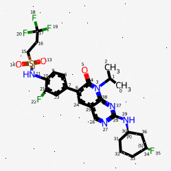 CC(C)n1c(=O)c(-c2ccc(NS(=O)(=O)CCC(F)(F)F)c(F)c2)cc2cnc(N[C@@H]3CCC[C@H](F)C3)nc21